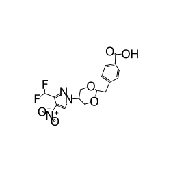 O=C(O)c1ccc(CC2OCC(n3cc([N+](=O)[O-])c(C(F)F)n3)CO2)cc1